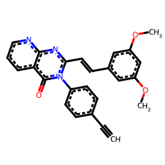 C#Cc1ccc(-n2c(C=Cc3cc(OC)cc(OC)c3)nc3ncccc3c2=O)cc1